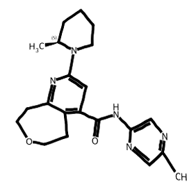 Cc1cnc(NC(=O)c2cc(N3CCCC[C@@H]3C)nc3c2CCOCC3)cn1